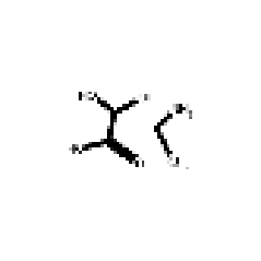 CCN.O=C(O)C(O)O